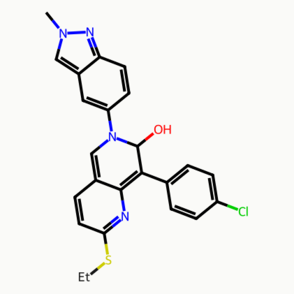 CCSc1ccc2c(n1)=C(c1ccc(Cl)cc1)C(O)N(c1ccc3nn(C)cc3c1)C=2